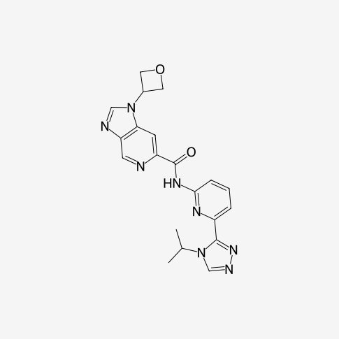 CC(C)n1cnnc1-c1cccc(NC(=O)c2cc3c(cn2)ncn3C2COC2)n1